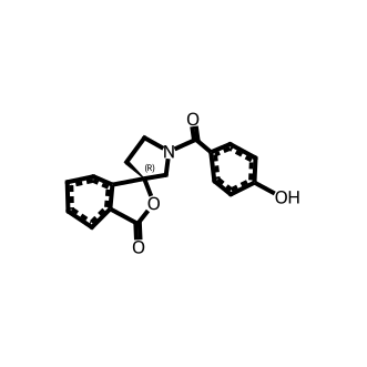 O=C1O[C@]2(CCN(C(=O)c3ccc(O)cc3)C2)c2ccccc21